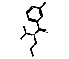 CCCN(C(=O)c1cccc(C)c1)C(C)C